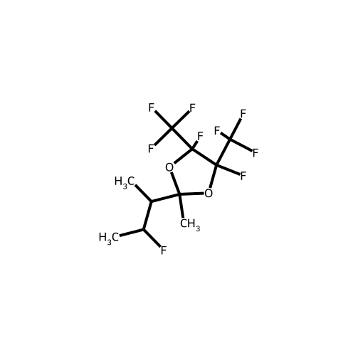 CC(F)C(C)C1(C)OC(F)(C(F)(F)F)C(F)(C(F)(F)F)O1